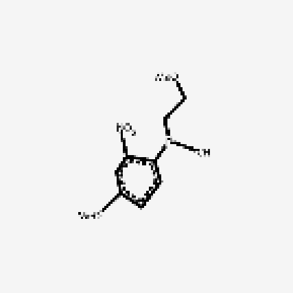 COCCN(C)c1ccc(OC)cc1[N+](=O)[O-]